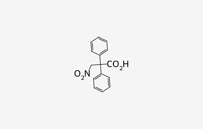 O=C(O)C(C[N+](=O)[O-])(c1ccccc1)c1ccccc1